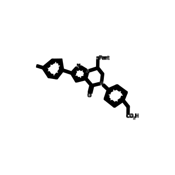 CCCCCC1CN(c2ccc(CC(=O)O)cc2)C(=O)c2cc(-c3ccc(C)cc3)nn21